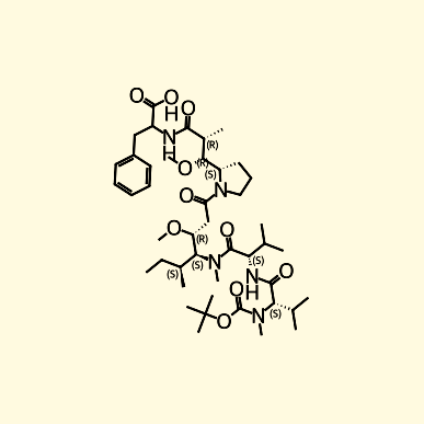 CC[C@H](C)[C@@H]([C@@H](CC(=O)N1CCC[C@H]1[C@H](OC)[C@@H](C)C(=O)NC(Cc1ccccc1)C(=O)O)OC)N(C)C(=O)[C@@H](NC(=O)[C@H](C(C)C)N(C)C(=O)OC(C)(C)C)C(C)C